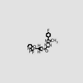 Cn1c(-c2ccc(F)cc2)nc2nc(C(=O)N3C[C@@H]4C(COc5cccnc5C(F)(F)F)[C@@H]4C3)cnc21